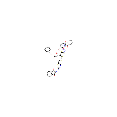 O=C(OCc1ccccc1)C1(C(=O)OCc2ccccc2)Oc2c(sc3nc(N=c4c(=O)c5ccccc5c4=O)sc23)-c2sc3nc(N=c4c(=O)c5ccccc5c4=O)sc3c21